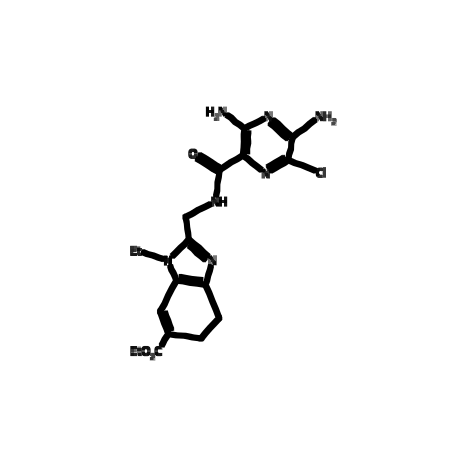 CCOC(=O)C1=Cc2c(nc(CNC(=O)c3nc(Cl)c(N)nc3N)n2CC)CC1